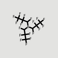 FC(B(C(F)C(F)(F)C(F)(F)F)C(F)C(F)(F)C(F)(F)F)C(F)(F)C(F)(F)F